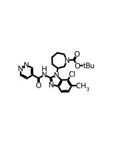 Cc1ccc2nc(NC(=O)c3ccnnc3)n(C3CCCCN(C(=O)OC(C)(C)C)C3)c2c1Cl